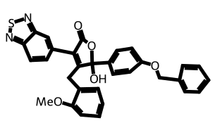 COc1ccccc1CC1=C(c2ccc3nsnc3c2)C(=O)OC1(O)c1ccc(OCc2ccccc2)cc1